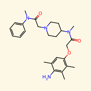 Cc1cc(OCC(=O)N(C)C2CCN(CC(=O)N(C)c3ccccc3)CC2)c(C)c(C)c1N